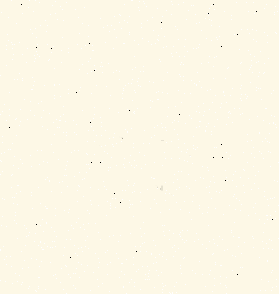 CC1C=CC(=O)N1[C@@H](CN)C(=O)C(C)(C)C